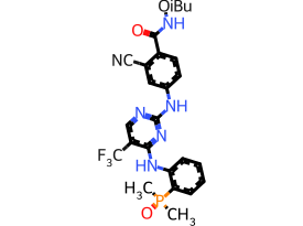 CC(C)CONC(=O)c1ccc(Nc2ncc(C(F)(F)F)c(Nc3ccccc3P(C)(C)=O)n2)cc1C#N